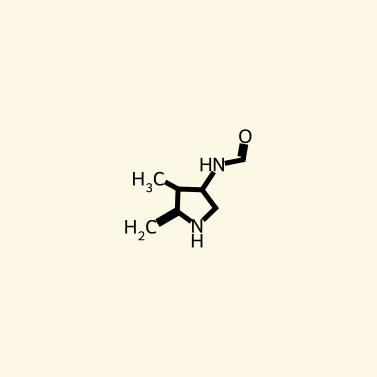 C=C1NCC(NC=O)C1C